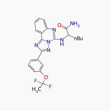 CCCCC(Nc1nc2ccccc2c2nc(-c3cccc(OC(C)(F)F)c3)nn12)C(N)=O